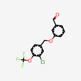 O=Cc1cccc(OCc2ccc(OC(F)(F)F)c(Cl)c2)c1